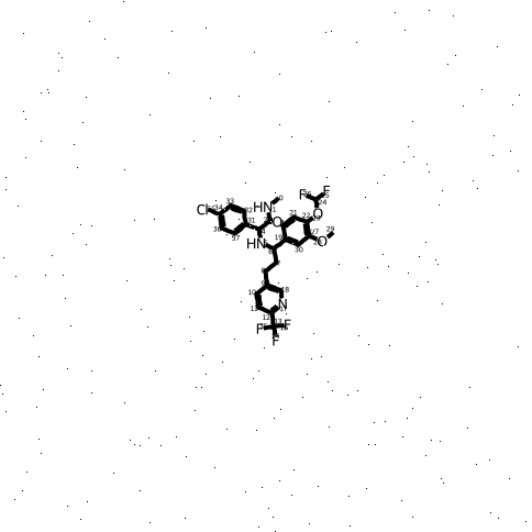 CNC(=O)C(NC(CCc1ccc(C(F)(F)F)nc1)c1ccc(OC(F)F)c(OC)c1)c1ccc(Cl)cc1